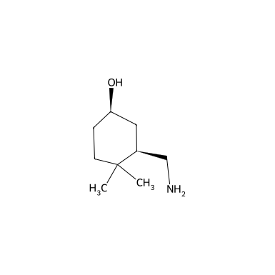 CC1(C)CC[C@@H](O)C[C@H]1CN